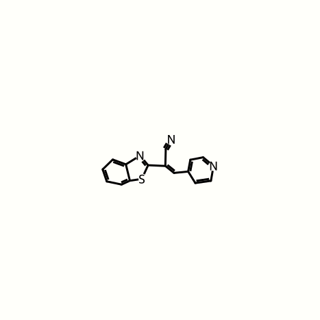 N#CC(=Cc1ccncc1)c1nc2ccccc2s1